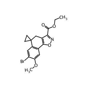 CCOC(=O)c1noc2c1CC1(CC1)c1cc(Br)c(OC)cc1-2